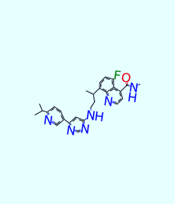 CNC(=O)c1ccnc2c(C(C)CCNc3cc(-c4ccc(C(C)C)nc4)ncn3)ccc(F)c12